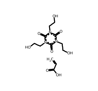 C=CC(=O)O.O=c1n(CCO)c(=O)n(CCO)c(=O)n1CCO